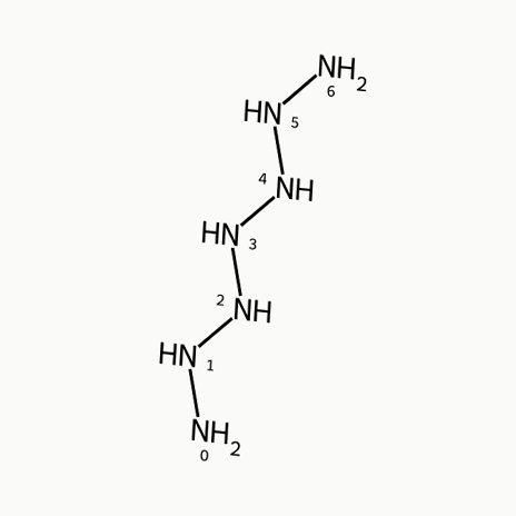 NNNNNNN